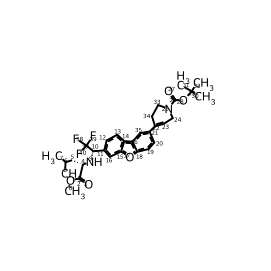 COC(=O)[C@H](CC(C)C)N[C@@H](c1ccc2c(c1)oc1ccc(C3=CCN(C(=O)OC(C)(C)C)CC3)cc12)C(F)(F)F